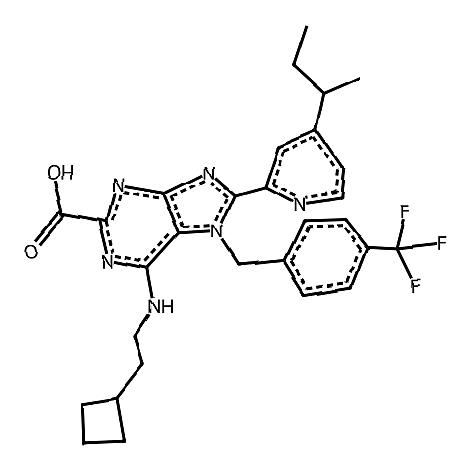 CCC(C)c1ccnc(-c2nc3nc(C(=O)O)nc(NCCC4CCC4)c3n2Cc2ccc(C(F)(F)F)cc2)c1